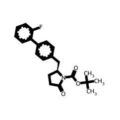 CC(C)(C)OC(=O)N1C(=O)CC[C@H]1Cc1ccc(-c2ccccc2F)cc1